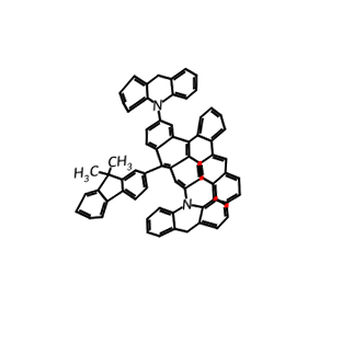 CC1(C)c2ccccc2-c2ccc(-c3c4cc(N5c6ccccc6Cc6ccccc65)ccc4c(-c4ccccc4-c4ccc5ccccc5c4)c4cc(N5c6ccccc6Cc6ccccc65)ccc34)cc21